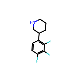 Fc1ccc(C2CCCNC2)c(F)c1F